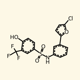 O=S(=O)(Nc1cccc(-c2ccc(Cl)o2)c1)c1ccc(O)c(C(F)(F)F)c1